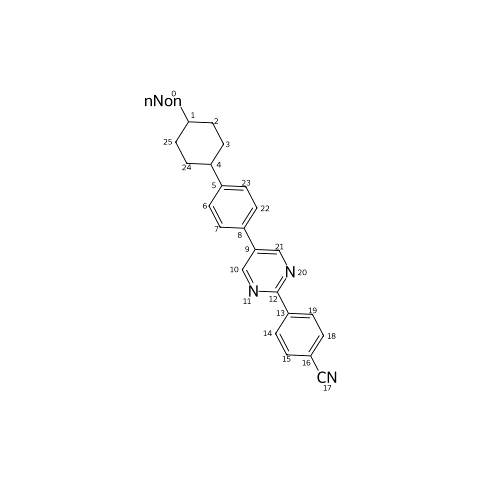 CCCCCCCCCC1CCC(c2ccc(-c3cnc(-c4ccc(C#N)cc4)nc3)cc2)CC1